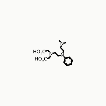 CN(C)CCN(CCN(CC(=O)O)CC(=O)O)c1ccccc1